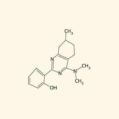 CC1CCc2c(nc(-c3ccccc3O)nc2N(C)C)C1